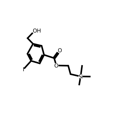 C[Si](C)(C)CCOC(=O)c1cc(I)cc(CO)c1